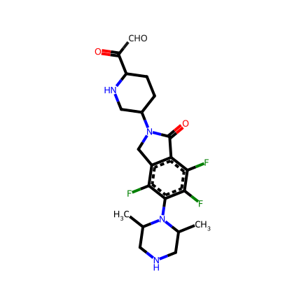 CC1CNCC(C)N1c1c(F)c(F)c2c(c1F)CN(C1CCC(C(=O)C=O)NC1)C2=O